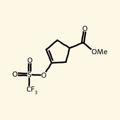 COC(=O)C1CC=C(OS(=O)(=O)C(F)(F)F)C1